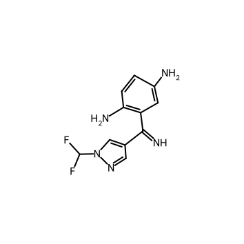 N=C(c1cnn(C(F)F)c1)c1cc(N)ccc1N